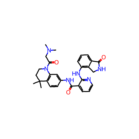 CN(C)CC(=O)N1CCC(C)(C)c2ccc(NC(=O)c3cccnc3Nc3cccc4c3CNC4=O)cc21